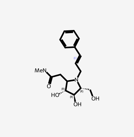 CNC(=O)CC1[C@@H](O)[C@H](O)[C@@H](CO)N1C/C=C/c1ccccc1